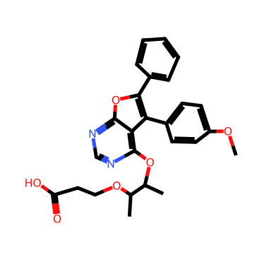 COc1ccc(-c2c(-c3ccccc3)oc3ncnc(OC(C)C(C)OCCC(=O)O)c23)cc1